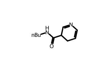 CCCCNC(=O)C1C=NC=CC1